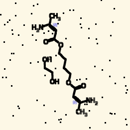 C/C(N)=C/C(=O)OCCCCOC(=O)/C=C(/C)N.OCCO